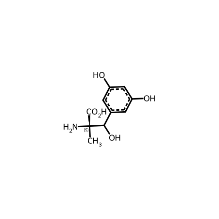 C[C@@](N)(C(=O)O)C(O)c1cc(O)cc(O)c1